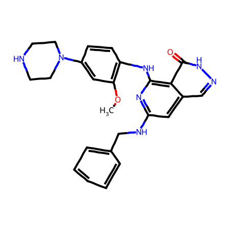 COc1cc(N2CCNCC2)ccc1Nc1nc(NCc2ccccc2)cc2cn[nH]c(=O)c12